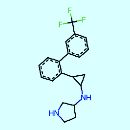 FC(F)(F)c1cccc(-c2ccccc2C2CC2NC2CCNC2)c1